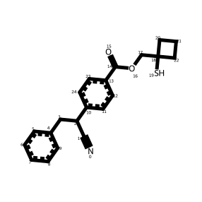 N#CC(Cc1ccccc1)c1ccc(C(=O)OCC2(S)CCC2)cc1